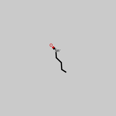 CCC[CH2][Sn-]=[O]